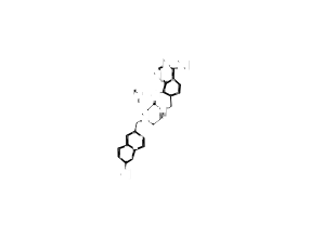 COC[C@H]1C(=O)N(Cc2ccc3c(N)ncnc3c2)[C@H](C)CN1Cc1ccc2cc(Cl)ccc2c1